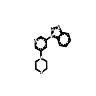 c1ccc2c(c1)nnn2-c1cncc(N2CCOCC2)c1